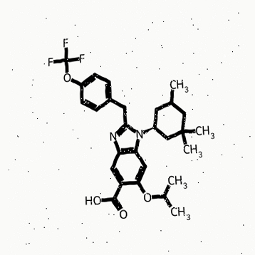 CC1C[C@H](n2c(Cc3ccc(OC(F)(F)F)cc3)nc3cc(C(=O)O)c(OC(C)C)cc32)CC(C)(C)C1